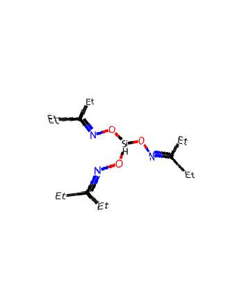 CCC(CC)=NO[SiH](ON=C(CC)CC)ON=C(CC)CC